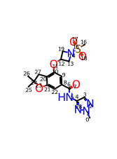 Cn1ncc(NC(=O)c2cc(OC3CN(S(C)(=O)=O)C3)c3c(c2)OC(C)(C)C3)n1